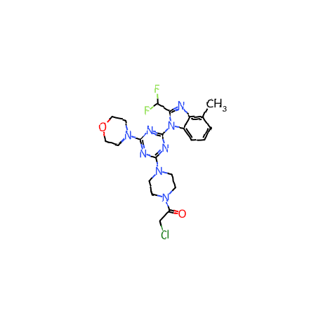 Cc1cccc2c1nc(C(F)F)n2-c1nc(N2CCOCC2)nc(N2CCN(C(=O)CCl)CC2)n1